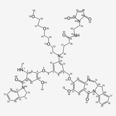 CNc1cc(OCc2cc(COc3cc4c(cc3OC)C(=O)N3c5ccccc5CC3C=N4)cc(N(CCCC(=O)NCCN3C(=O)C=CC3=O)CCOCCOCCOC)c2)c(OC)cc1C(=O)N1CCc2ccccc21